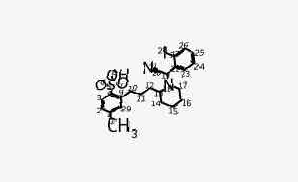 Cc1ccc(S(=O)(=O)O)c(CCCC2CCCCN2C(C#N)c2ccccc2I)c1